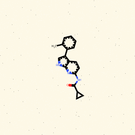 Cc1ccccc1-c1c[nH]c2nc(NC(=O)C3CC3)ccc12